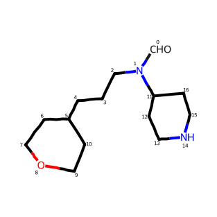 O=CN(CCCC1CCOCC1)C1CCNCC1